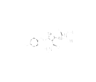 CN(C)C(=O)Nc1snc(OCc2ccc(Cl)cc2)c1C(N)=O